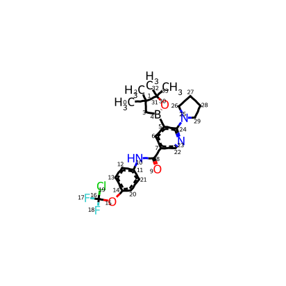 CC1(C)CB(c2cc(C(=O)Nc3ccc(OC(F)(F)Cl)cc3)cnc2N2CCCC2)OC1(C)C